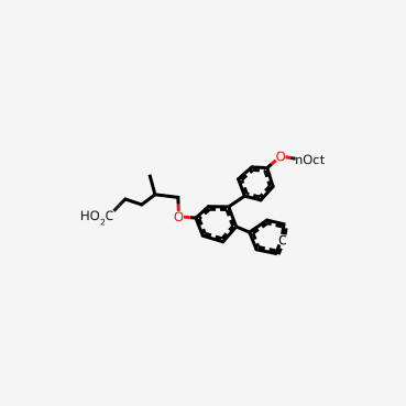 CCCCCCCCOc1ccc(-c2cc(OCC(C)CCC(=O)O)ccc2-c2ccccc2)cc1